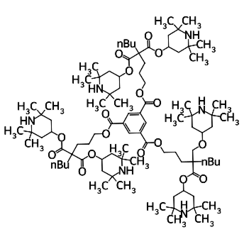 CCCCC(CCCOC(=O)c1cc(C(=O)OCCCC(CCCC)(C(=O)OC2CC(C)(C)NC(C)(C)C2)C(=O)OC2CC(C)(C)NC(C)(C)C2)cc(C(=O)OCCCC(CCCC)(C(=O)OC2CC(C)(C)NC(C)(C)C2)C(=O)OC2CC(C)(C)NC(C)(C)C2)c1)(COC1CC(C)(C)NC(C)(C)C1)C(=O)OC1CC(C)(C)NC(C)(C)C1